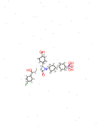 O=C1[C@H](CC[C@H](O)c2ccc(F)cc2)[C@@H](c2ccc(O)cc2)N1c1ccc(-c2ccc(P(=O)(O)O)cc2)cc1